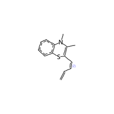 C=C/C=C\C1=C(C)N(C)c2ccccc2S1